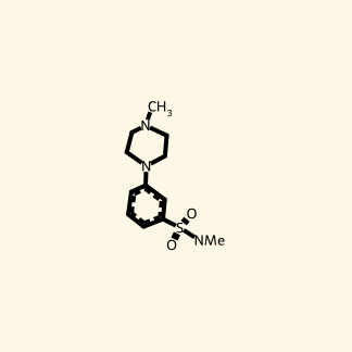 CNS(=O)(=O)c1cccc(N2CCN(C)CC2)c1